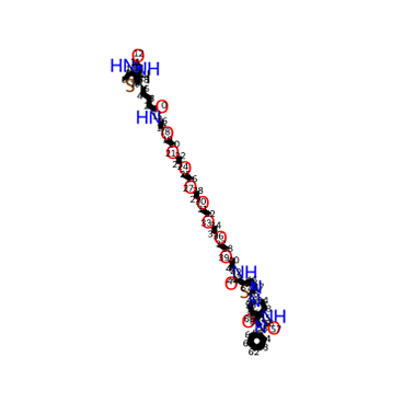 O=C(CCCC[C@@H]1SCC2NC(=O)N[C@@H]21)NCCOCCOCCOCCOCCOCCOCCOCCOCCNC(=O)c1cnc(N2CCC3(CC2)NC(=O)N(c2ccccc2)C3=O)s1